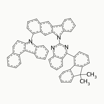 CC1(C)c2ccccc2-c2c(-c3nc(-n4c5ccccc5c5cc6cccc(-n7c8ccccc8c8c9ccccc9ccc87)c6cc54)nc4ccccc34)cccc21